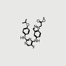 COC(=O)Cn1ncc2cc(Nc3nc(Nc4ccc(OC(C)C)cc4)ncc3F)ccc21